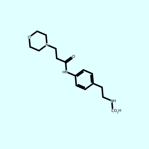 O=C(O)NCCc1ccc(NC(=O)CCN2CCOCC2)cc1